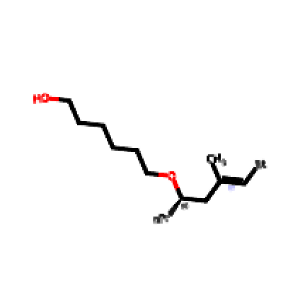 CC/C=C(\C)C[C@@H](CCC)OCCCCCCO